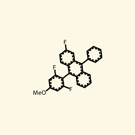 COc1cc(F)c(-c2c3ccccc3c(-c3ccccc3)c3cc(F)ccc23)c(F)c1